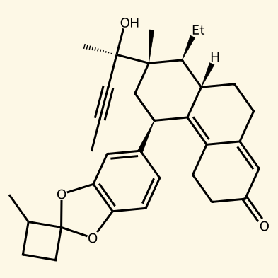 CC#C[C@@](C)(O)[C@@]1(C)C[C@H](c2ccc3c(c2)OC2(CCC2C)O3)C2=C3CCC(=O)C=C3CC[C@H]2[C@@H]1CC